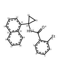 CCc1ccccc1C(=O)NC1(c2cccc3ccccc23)CC1